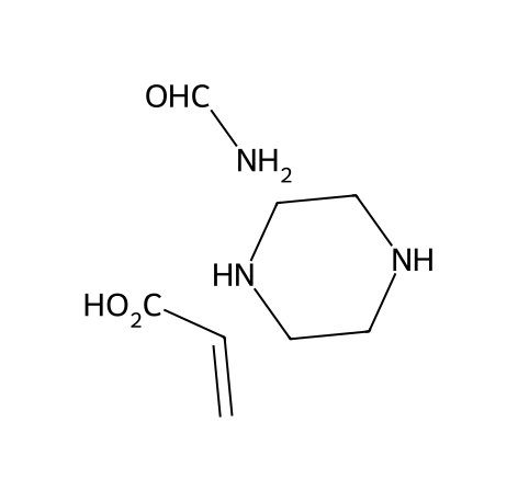 C1CNCCN1.C=CC(=O)O.NC=O